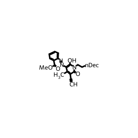 C#Cc1c(C)c(/N=N/c2ccccc2C(=O)OC)c(O)n(CCCCCCCCCCCC)c1=O